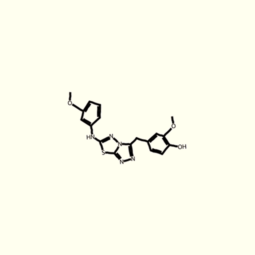 COc1cccc(Nc2nn3c(Cc4ccc(O)c(OC)c4)nnc3s2)c1